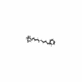 c1ccc(CCCCCCCCn2ccnn2)cc1